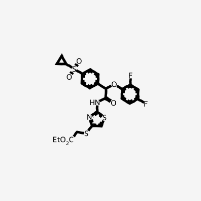 CCOC(=O)CSc1csc(NC(=O)C(Oc2ccc(F)cc2F)c2ccc(S(=O)(=O)C3CC3)cc2)n1